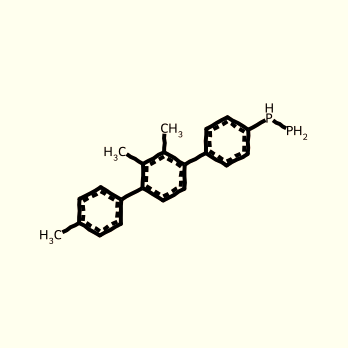 Cc1ccc(-c2ccc(-c3ccc(PP)cc3)c(C)c2C)cc1